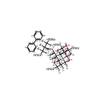 CCCCCCC(F)(F)C(F)(F)C(F)(F)[NH2+]C.CCCCCCC(F)(F)C(F)(F)[C](F)(F)[Al-]([C](F)(F)C(F)(F)C(F)(F)CCCCCC)([C](F)(F)C(F)(F)C(F)(F)CCCCCC)[C](F)(F)C(F)(F)C(F)(F)CCCCCC.c1ccc(-c2ccccc2)cc1